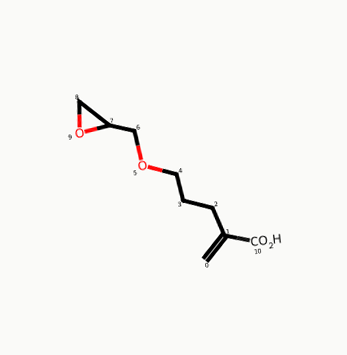 C=C(CCCOCC1CO1)C(=O)O